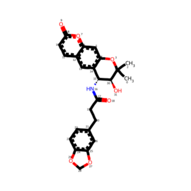 CC1(C)Oc2cc3oc(=O)ccc3cc2[C@@H](NC(=O)CCc2ccc3c(c2)OCO3)[C@@H]1O